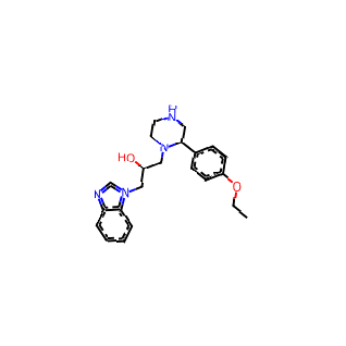 CCOc1ccc(C2CNCCN2CC(O)Cn2cnc3ccccc32)cc1